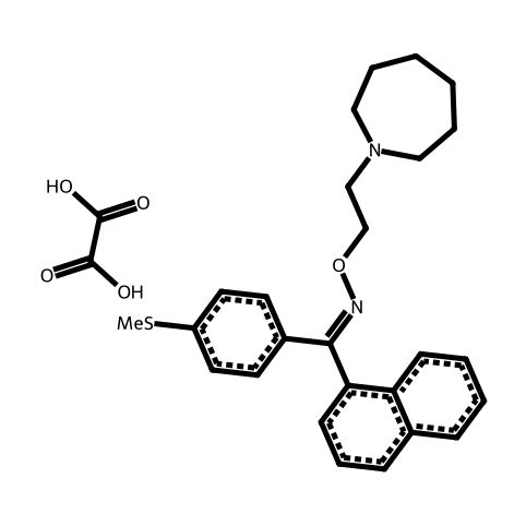 CSc1ccc(C(=NOCCN2CCCCCC2)c2cccc3ccccc23)cc1.O=C(O)C(=O)O